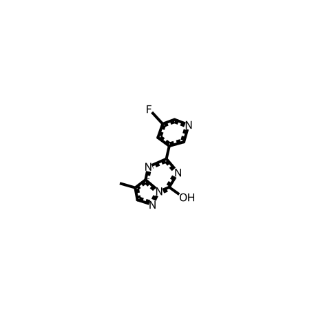 Cc1cnn2c(O)nc(-c3cncc(F)c3)nc12